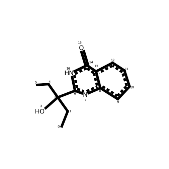 CCC(O)(CC)c1nc2ccccc2c(=O)[nH]1